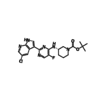 CC(C)(C)OC(=O)N1CCC[C@H](Nc2nc(-c3c[nH]c4ncc(Cl)cc34)ncc2F)C1